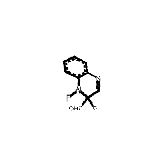 O=CC1(F)C=Nc2ccccc2N1F